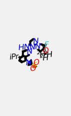 [2H]C([2H])([2H])O[C@@H]1CCN(c2nccc(Nc3cc4c(C(C)C)ccc(N5CC(S(C)(=O)=O)C5)c4cn3)n2)C[C@@H]1F